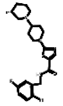 C[C@@H]1CCCN(C2CCN(c3ncc(C(=O)NCc4cc(F)ccc4Cl)s3)CC2)C1